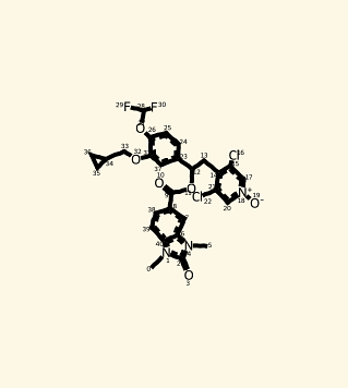 Cn1c(=O)n(C)c2cc(C(=O)OC(Cc3c(Cl)c[n+]([O-])cc3Cl)c3ccc(OC(F)F)c(OCC4CC4)c3)ccc21